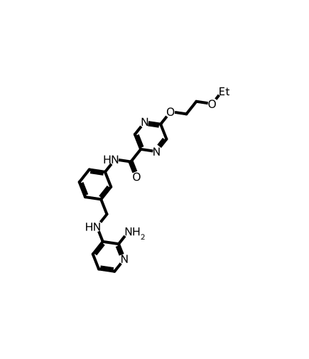 CCOCCOc1cnc(C(=O)Nc2cccc(CNc3cccnc3N)c2)cn1